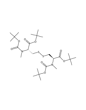 CN(C(=O)OC(C)(C)C)[C@@H](CSSC[C@@H](C(=O)OC(C)(C)C)N(C)C(=O)OC(C)(C)C)C(=O)OC(C)(C)C